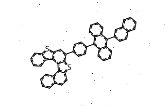 c1ccc2cc(-c3c4ccccc4c(-c4ccc(-c5cc6sc7ccccc7c6c6c5sc5ccc7ccccc7c56)cc4)c4ccccc34)ccc2c1